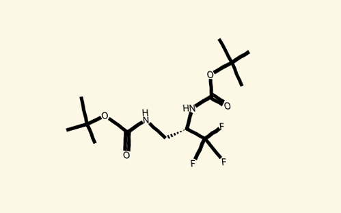 CC(C)(C)OC(=O)NC[C@H](NC(=O)OC(C)(C)C)C(F)(F)F